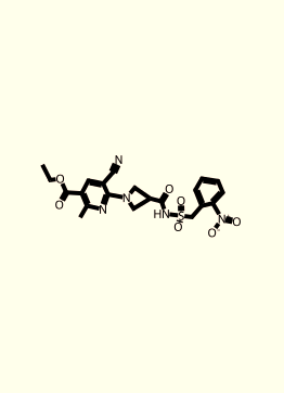 CCOC(=O)c1cc(C#N)c(N2CC(C(=O)NS(=O)(=O)Cc3ccccc3[N+](=O)[O-])C2)nc1C